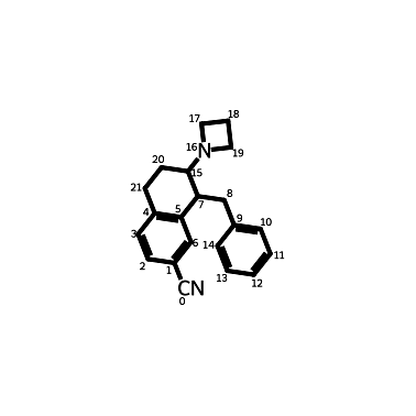 N#Cc1ccc2c(c1)C(Cc1ccccc1)C(N1CCC1)CC2